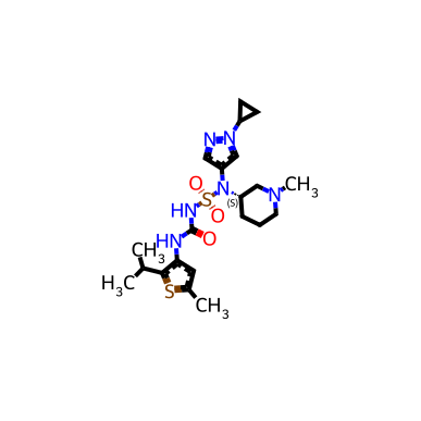 Cc1cc(NC(=O)NS(=O)(=O)N(c2cnn(C3CC3)c2)[C@H]2CCCN(C)C2)c(C(C)C)s1